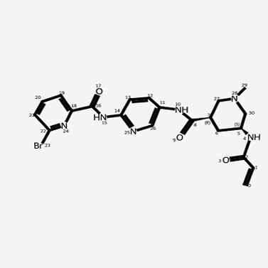 C=CC(=O)N[C@H]1C[C@@H](C(=O)Nc2ccc(NC(=O)c3cccc(Br)n3)nc2)CN(C)C1